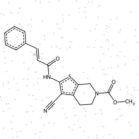 COC(=O)N1CCc2c(sc(NC(=O)/C=C/c3ccccc3)c2C#N)C1